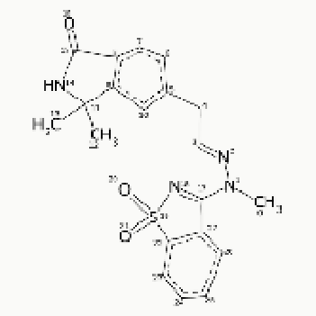 CN(/N=C/Cc1ccc2c(c1)C(C)(C)NC2=O)C1=NS(=O)(=O)c2ccccc21